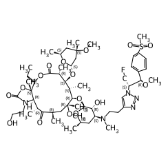 CC[C@H]1OC(=O)[C@H](C)[C@@H](O[C@H]2C[C@@](C)(OC)C[C@H](C)O2)[C@H](C)[C@@H](O[C@@H]2O[C@H](C)C[C@H](N(C)CCc3cn([C@H](CF)[C@H](OC)c4ccc(S(C)(=O)=O)cc4)nn3)[C@H]2O)[C@](C)(OC)C[C@@H](C)C(=O)[C@H](C)[C@H]2N(CCO)C(=O)O[C@]12C